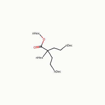 CCCCCCCCCCCCC(CCCCCC)(CCCCCCCCCCCC)C(=O)OCCCCCC